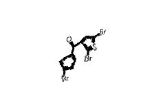 O=C(c1ccc(Br)cc1)c1cc(Br)sc1Br